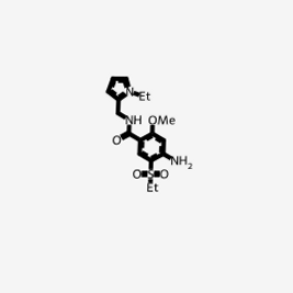 CCn1cccc1CNC(=O)c1cc(S(=O)(=O)CC)c(N)cc1OC